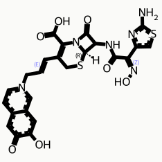 Nc1nc(/C(=N/O)C(=O)NC2C(=O)N3C(C(=O)O)=C(/C=C/Cn4ccc5cc(=O)c(O)cc-5c4)CS[C@H]23)cs1